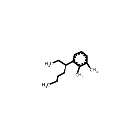 CCCC[C@@H](CC)c1cccc(C)c1C